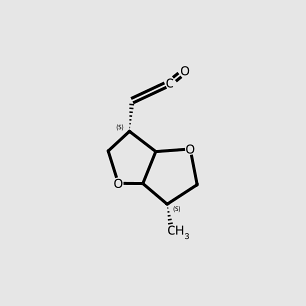 C[C@H]1COC2C1OC[C@@H]2C=C=O